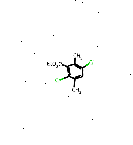 CCOC(=O)c1c(C)c(Cl)cc(C)c1Cl